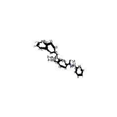 C/C(=N\Nc1ccccn1)c1ccc2c(n1)N(Cc1ccc3ncccc3c1)NN2